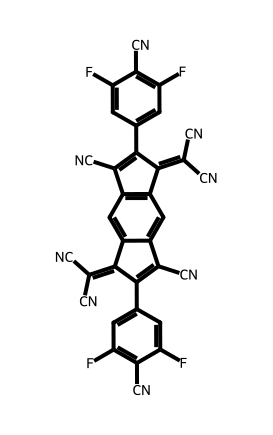 N#CC(C#N)=C1C(c2cc(F)c(C#N)c(F)c2)=C(C#N)c2cc3c(cc21)C(C#N)=C(c1cc(F)c(C#N)c(F)c1)C3=C(C#N)C#N